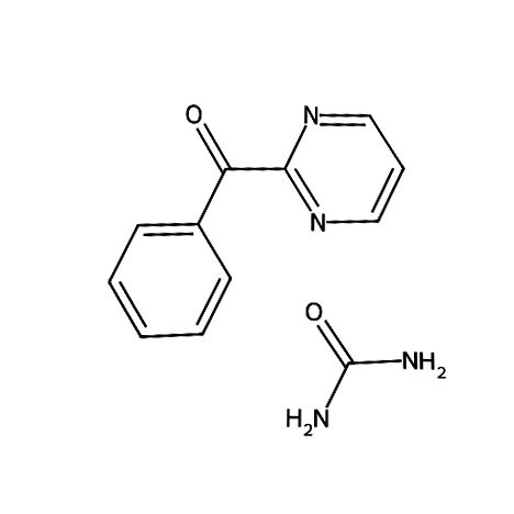 NC(N)=O.O=C(c1ccccc1)c1ncccn1